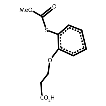 COC(=O)Sc1ccccc1OCCC(=O)O